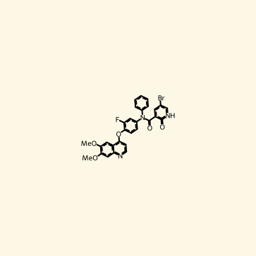 COc1cc2nccc(Oc3ccc(N(C(=O)c4cc(Br)c[nH]c4=O)c4ccccc4)cc3F)c2cc1OC